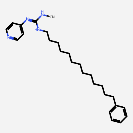 N#CNC(=Nc1ccncc1)NCCCCCCCCCCCCCc1ccccc1